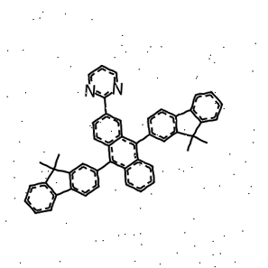 CC1(C)c2ccccc2-c2ccc(-c3c4ccccc4c(-c4ccc5c(c4)C(C)(C)c4ccccc4-5)c4cc(-c5ncccn5)ccc34)cc21